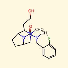 CN(Cc1ccccc1F)C(=O)N1C2CCC1[C@@H](CCO)N(C=O)C2